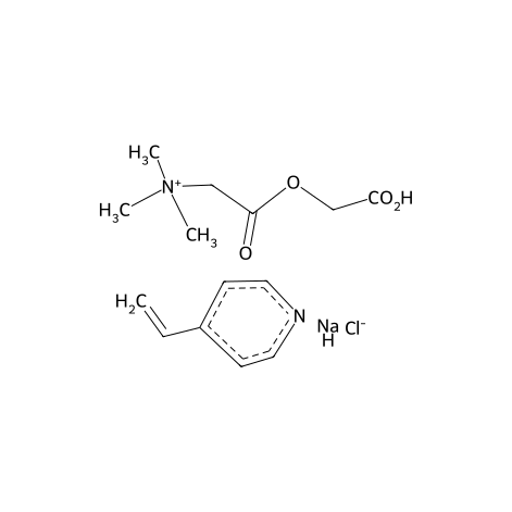 C=Cc1ccncc1.C[N+](C)(C)CC(=O)OCC(=O)O.[Cl-].[NaH]